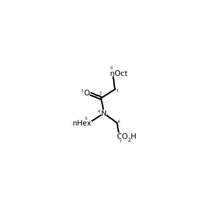 CCCCCCCCCC(=O)N(CCCCCC)CC(=O)O